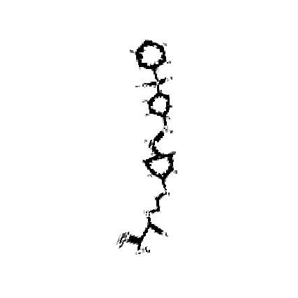 C=C(C)C(=O)OCCSc1ccc(N=Nc2ccc(S(=O)(=O)c3ccccc3)cc2)cc1